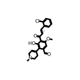 COc1cc(C=O)c(C2=CCN(C)CC2)c(O)c1C(=O)/C=C/c1ccccc1Cl